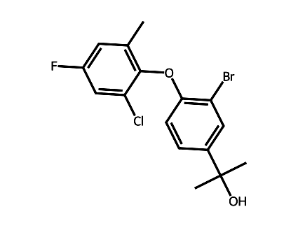 Cc1cc(F)cc(Cl)c1Oc1ccc(C(C)(C)O)cc1Br